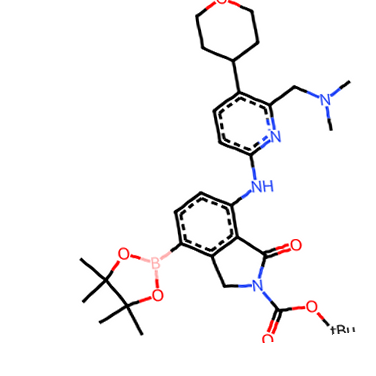 CN(C)Cc1nc(Nc2ccc(B3OC(C)(C)C(C)(C)O3)c3c2C(=O)N(C(=O)OC(C)(C)C)C3)ccc1C1CCOCC1